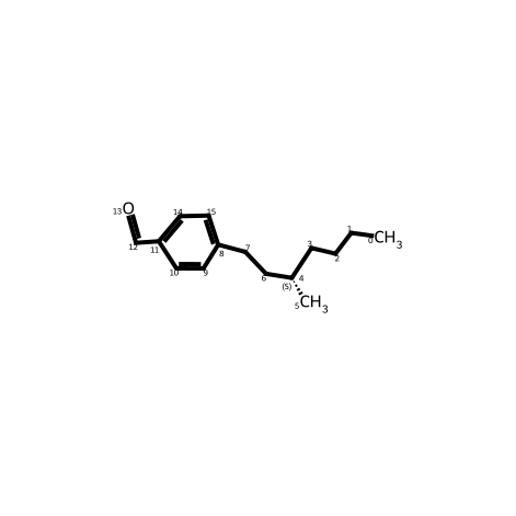 CCCC[C@H](C)CCc1ccc(C=O)cc1